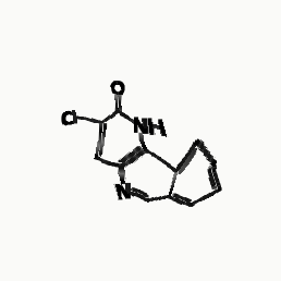 O=c1[nH]c2c(cc1Cl)ncc1ccccc12